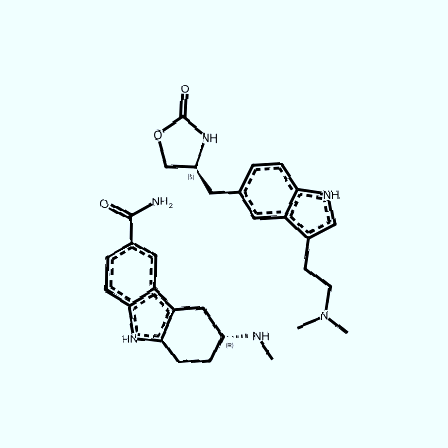 CN(C)CCc1c[nH]c2ccc(C[C@H]3COC(=O)N3)cc12.CN[C@@H]1CCc2[nH]c3ccc(C(N)=O)cc3c2C1